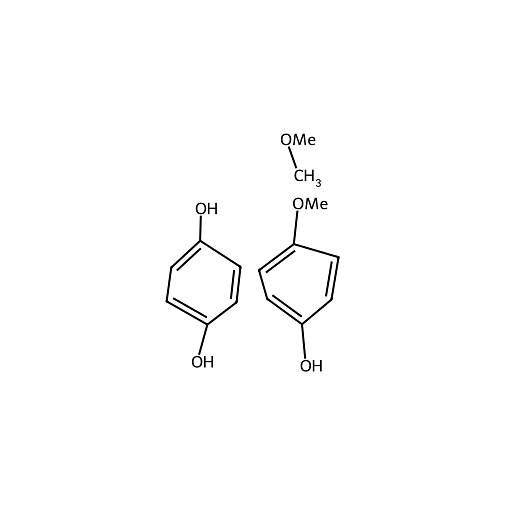 COC.COc1ccc(O)cc1.Oc1ccc(O)cc1